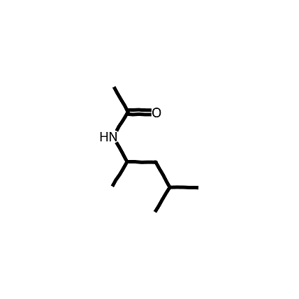 CC(=O)NC(C)CC(C)C